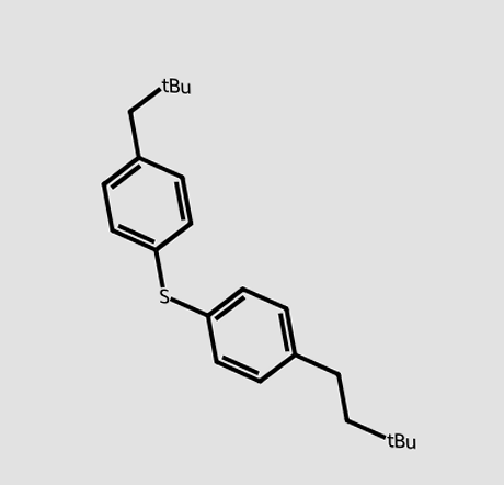 CC(C)(C)CCc1ccc(Sc2ccc(CC(C)(C)C)cc2)cc1